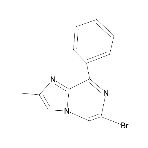 Cc1cn2cc(Br)nc(-c3ccccc3)c2n1